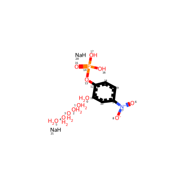 O.O.O.O.O.O.O=[N+]([O-])c1ccc(OP(=O)(O)O)cc1.[NaH].[NaH]